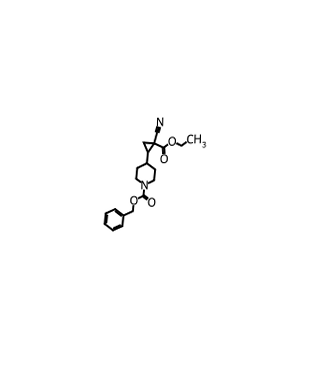 CCOC(=O)C1(C#N)CC1C1CCN(C(=O)OCc2ccccc2)CC1